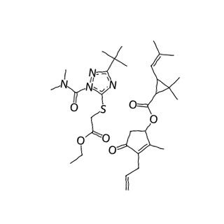 C=CCC1=C(C)C(OC(=O)C2C(C=C(C)C)C2(C)C)CC1=O.CCOC(=O)CSc1nc(C(C)(C)C)nn1C(=O)N(C)C